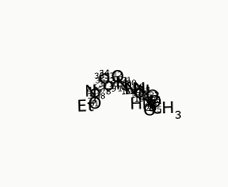 CCOc1cncc(-c2ccc(C(=O)N3CCN(c4ccc(C(=O)NS(C)(=O)=O)nn4)CC3)c3ccccc23)c1